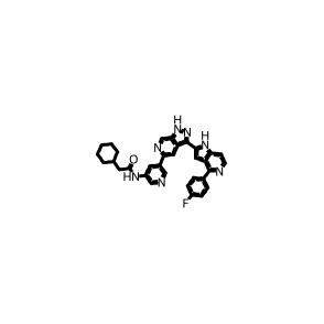 O=C(CC1CCCCC1)Nc1cncc(-c2cc3c(-c4cc5c(-c6ccc(F)cc6)nccc5[nH]4)n[nH]c3cn2)c1